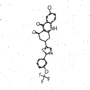 O=C1CC(c2cnc(-c3cccc(OC(F)(F)F)c3)s2)Cc2[nH]c3ccc(Cl)cc3c(=O)c21